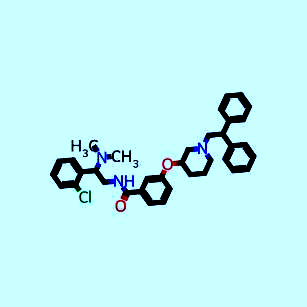 CN(C)C(CNC(=O)c1cccc(OC2CCCN(CC(c3ccccc3)c3ccccc3)C2)c1)c1ccccc1Cl